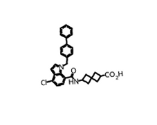 O=C(NC1CC2(C1)CC(C(=O)O)C2)c1ccc(Cl)c2ccn(Cc3ccc(-c4ccccc4)cc3)c12